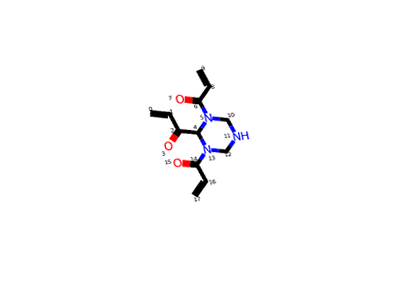 C=CC(=O)C1N(C(=O)C=C)CNCN1C(=O)C=C